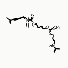 CC(C)C#CCNC(=O)OCCCCOC(S)SSCCNC(C)C